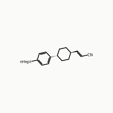 CCCCCCCc1ccc([C@H]2CC[C@H](/C=C/C#N)CC2)cc1